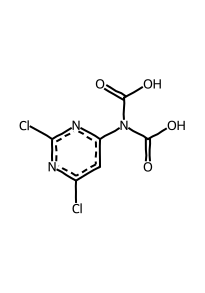 O=C(O)N(C(=O)O)c1cc(Cl)nc(Cl)n1